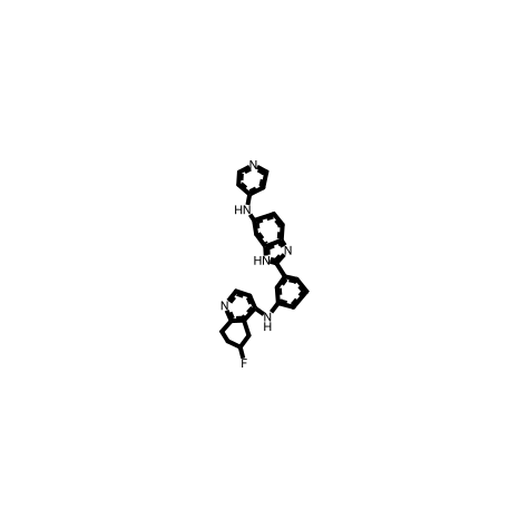 FC1CCc2nccc(Nc3cccc(-c4nc5ccc(Nc6ccncc6)cc5[nH]4)c3)c2C1